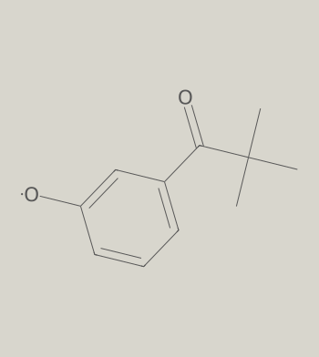 CC(C)(C)C(=O)c1cccc([O])c1